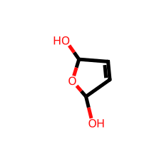 OC1C=CC(O)O1